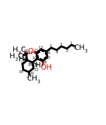 CCCCCCc1cc(O)c2c(c1)OC(C)(C)[C@H]1CCC(C)C[C@H]21